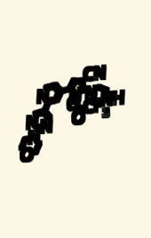 N#Cc1cc(-c2ccnc(-c3cnc(N4CCOCC4)nc3)c2)n(OC(=O)C(F)(F)F)c1N1CCNCC1